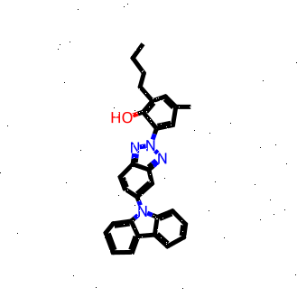 CCCCc1cc(C)cc(-n2nc3ccc(-n4c5ccccc5c5ccccc54)cc3n2)c1O